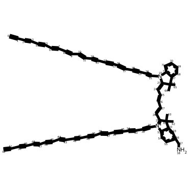 C#CC#CC#CC#CC#CC#CC#CC#CC#CC#CC#CN1/C(=C/C=C/C=C/C2=[N+](C#CC#CC#CC#CC#CC#CC#CC#CC#CC#CC#C)c3ccc(CN)cc3C2(C)C)C(C)(C)c2ccccc21